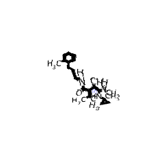 CN/C(NC1(C)CC1)=C(\C)C(C(=O)NCCCc1ccccc1C)=C(C)C